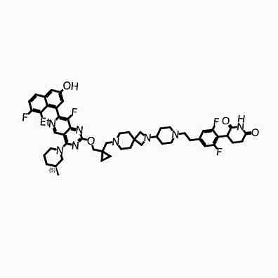 CCc1c(F)ccc2cc(O)cc(-c3ncc4c(N5CCC[C@H](C)C5)nc(OCC5(CN6CCC7(CC6)CN(C6CCN(CCc8cc(F)c(C9CCC(=O)NC9=O)c(F)c8)CC6)C7)CC5)nc4c3F)c12